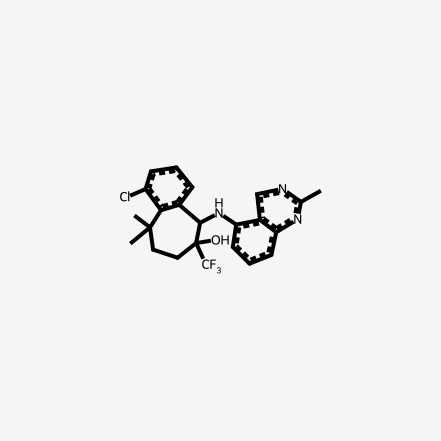 Cc1ncc2c(NC3c4cccc(Cl)c4C(C)(C)CCC3(O)C(F)(F)F)cccc2n1